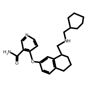 NC(=O)c1cnccc1Oc1ccc2c(c1)C(CNCC1CCCCC1)CCC2